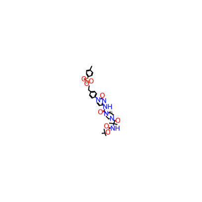 Cc1ccc(S(=O)(=O)OCCc2ccc(-n3ccc(NC(=O)N4CCN(C(=O)C(C)(C)NC(=O)OC(C)(C)C)C[C@H]4C)nc3=O)cc2)cc1